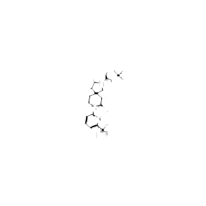 CC(C)(C)OC(=O)N1CCC2(CCN(c3cccc(C(F)(F)F)n3)C(=O)C2)C1